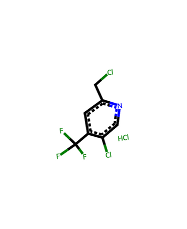 Cl.FC(F)(F)c1cc(CCl)ncc1Cl